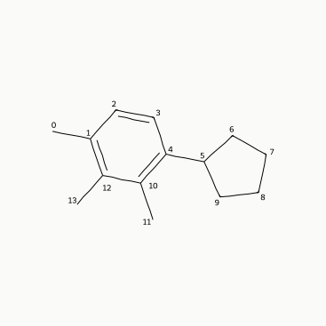 Cc1ccc(C2CCCC2)c(C)c1C